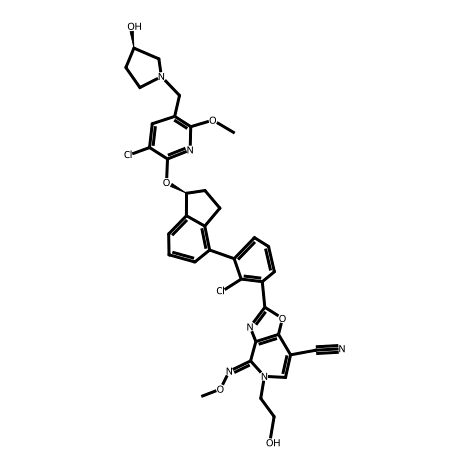 CO/N=c1/c2nc(-c3cccc(-c4cccc5c4CC[C@@H]5Oc4nc(OC)c(CN5CC[C@@H](O)C5)cc4Cl)c3Cl)oc2c(C#N)cn1CCO